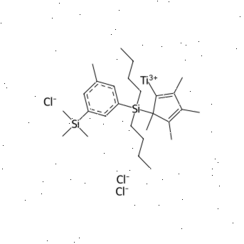 CCCC[Si](CCCC)(c1cc(C)cc([Si](C)(C)C)c1)C1(C)C(C)=C(C)C(C)=[C]1[Ti+3].[Cl-].[Cl-].[Cl-]